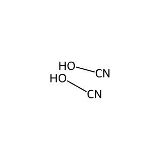 N#CO.N#CO